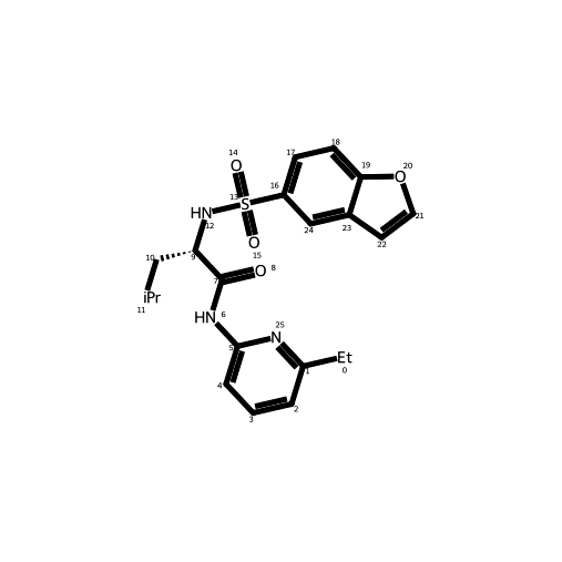 CCc1cccc(NC(=O)[C@H](CC(C)C)NS(=O)(=O)c2ccc3occc3c2)n1